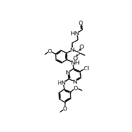 COc1ccc(Nc2ncc(Cl)c(Nc3ccc(OC)cc3N(CCNC=O)S(C)(=O)=O)n2)c(OC)c1